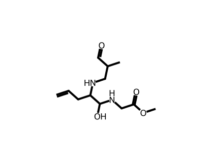 C=CCC(NCC(C)C=O)C(O)NCC(=O)OC